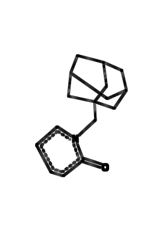 O=c1ccccn1CC12CC3CC(CC(C3)C1)C2